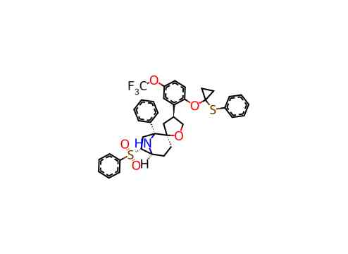 O=S(=O)(c1ccccc1)[C@@H]1C[C@]2(c3ccccc3)N[C@H]1CC[C@@]21C[C@@H](c2cc(OC(F)(F)F)ccc2OC2(Sc3ccccc3)CC2)CO1